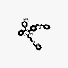 NN1CCN(Cc2ccccc2)CC1.O=C(N[C@@H](CCCNCc1ccccn1)C(=O)O)c1ccc(CNCc2ccccn2)cc1